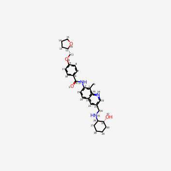 Cc1c(NC(=O)c2ccc(OC[C@@H]3CCCO3)cc2)ccc2cc(CNC3CCCC[C@H]3O)cnc12